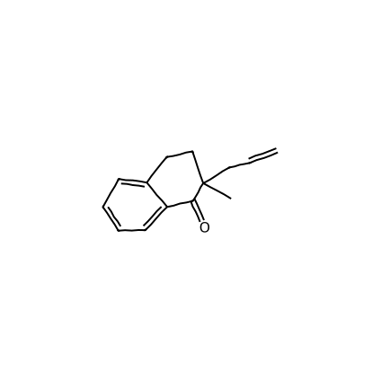 C=CCC1(C)CCc2ccccc2C1=O